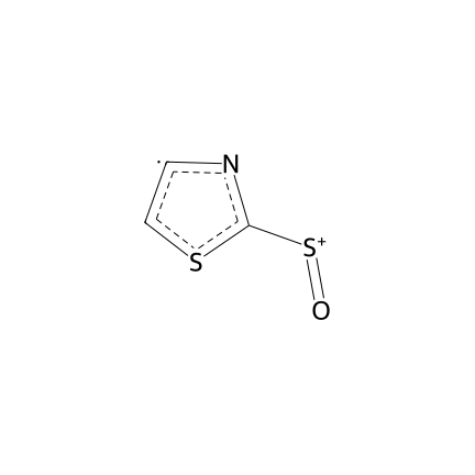 O=[S+]c1n[c]cs1